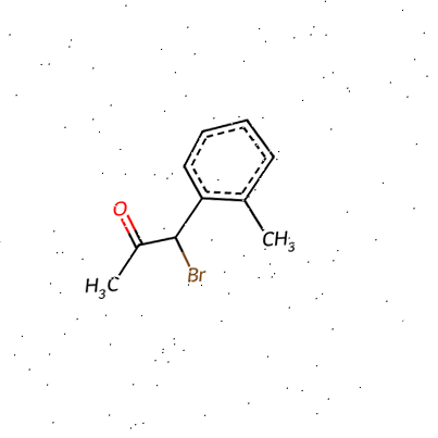 CC(=O)C(Br)c1ccccc1C